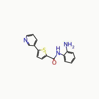 Nc1ccccc1NC(=O)c1ccc(-c2cccnc2)s1